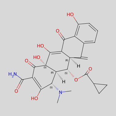 C=C1c2cccc(O)c2C(=O)C2=C(O)[C@]3(O)C(=O)C(C(N)=O)=C(O)[C@@H](N(C)C)[C@@H]3[C@@H](OC(=O)C3CC3)[C@H]12